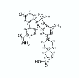 NC(=O)c1cccc(-c2cc(Cl)ccc2[C@@H](Oc2cc(N3CCC4(CC3)CN[C@H](C(=O)O)C4)nc(N)n2)C(F)(F)F)c1